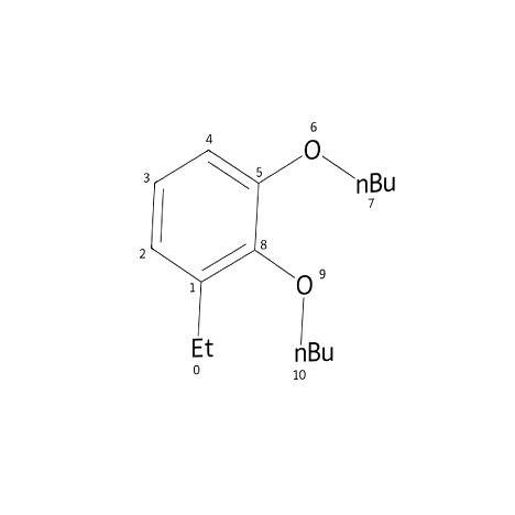 [CH2]Cc1cccc(OCCCC)c1OCCCC